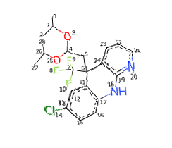 CC(C)OC(CC1(C(F)(F)F)c2cc(Cl)ccc2Nc2ncccc21)OC(C)C